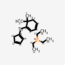 CC1(C)CC=CC=[C]1[Ti][C]1=CC=CC1.CCP(CC)CC